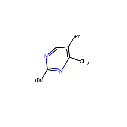 Cc1nc(C(C)(C)C)ncc1C(C)C